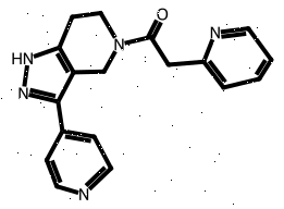 O=C(Cc1ccccn1)N1CCc2[nH]nc(-c3ccncc3)c2C1